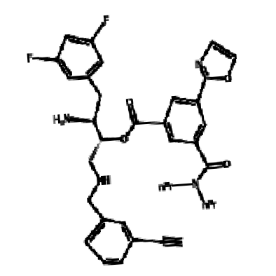 C#Cc1cccc(CNC[C@@H](OC(=O)c2cc(C(=O)N(CCC)CCC)cc(-c3ncco3)c2)[C@@H](N)Cc2cc(F)cc(F)c2)c1